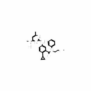 CNc1cc(C)nc(Nc2ccc(C3CC3)c(C(=O)N(CCOC)c3ccccc3)c2)n1